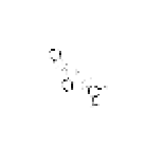 O=C(Nc1ccccc1Br)Nc1ccccc1NS(=O)(=O)c1cc(C(F)(F)F)cc(C(F)(F)F)c1